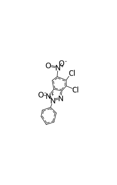 O=[N+]([O-])c1cc2c(nn(-c3ccccc3)[n+]2[O-])c(Cl)c1Cl